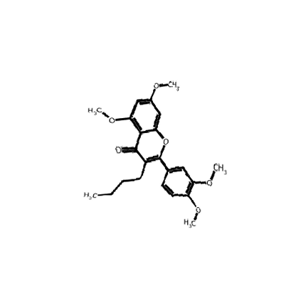 CCCCc1c(-c2ccc(OC)c(OC)c2)oc2cc(OC)cc(OC)c2c1=O